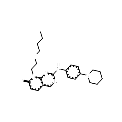 CCCCOCCn1c(=O)ccc2cnc(Nc3ccc(N4CCCCC4)cc3)nc21